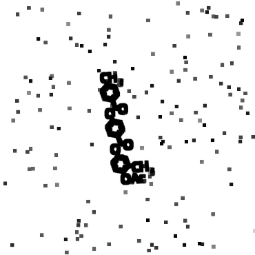 CC(=O)Oc1ccc(OC(=O)c2ccc(OC(=O)c3ccc(C)cc3)cc2)cc1C